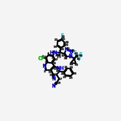 [2H][C@](Nc1cc(Cl)c2ncc(C#N)c(N[C@H](CCC#N)c3ccccc3)c2c1)(c1ccc(F)cc1)c1cn(C2(C(F)(F)F)CC2)nn1